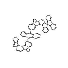 c1ccc2c(c1)-c1ccccc1C21c2ccccc2-c2c1ccc1oc3ccc(-c4c5ccccc5c(-c5ccc6oc7ccc8oc9ccccc9c8c7c6c5)c5ccccc45)cc3c21